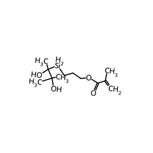 C=C(C)C(=O)OCCC[SiH2]C(C)(O)C(C)(C)O